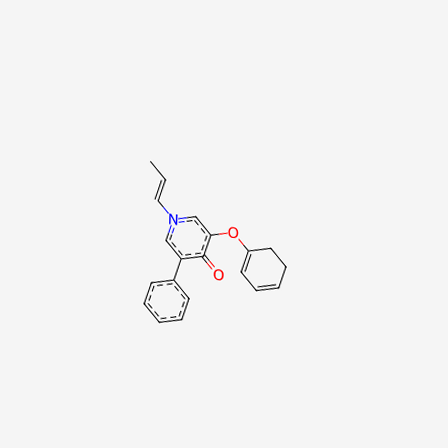 CC=Cn1cc(OC2=CC=CCC2)c(=O)c(-c2ccccc2)c1